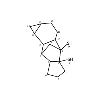 SC12CCCC1C1CC2(S)C2CCC3CC3C12